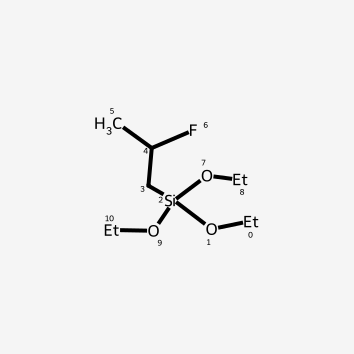 CCO[Si](CC(C)F)(OCC)OCC